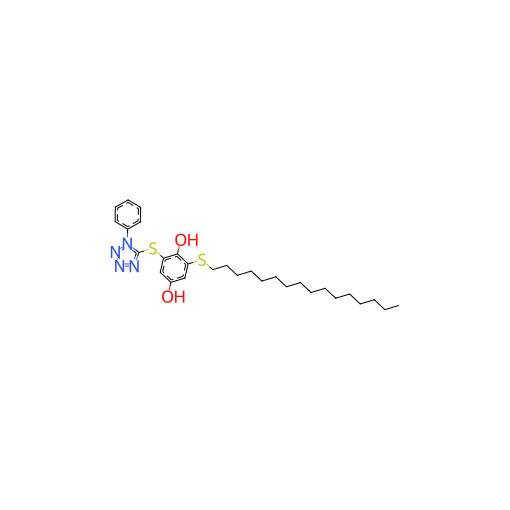 CCCCCCCCCCCCCCCCSc1cc(O)cc(Sc2nnnn2-c2ccccc2)c1O